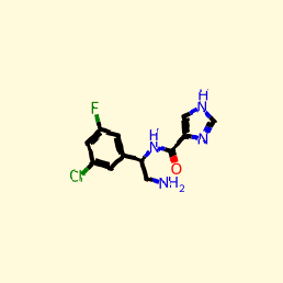 NCC(NC(=O)c1c[nH]cn1)c1cc(F)cc(Cl)c1